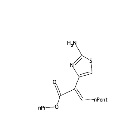 CCCCC/C=C(/C(=O)OCCC)c1csc(N)n1